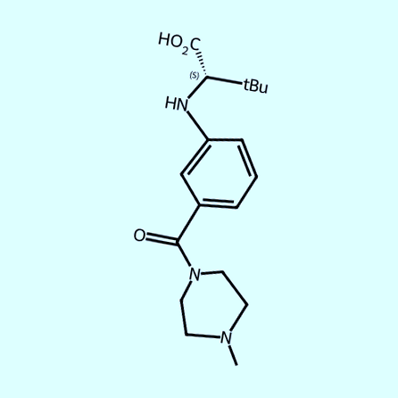 CN1CCN(C(=O)c2cccc(N[C@H](C(=O)O)C(C)(C)C)c2)CC1